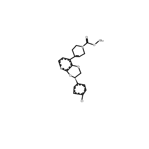 CC(C)(C)OC(=O)N1CC=C(c2ccnc3c2OC[C@@H](c2ccc(Cl)cc2)O3)CC1